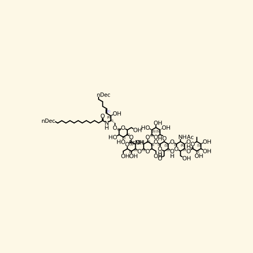 CCCCCCCCCCCCC/C=C/[C@@H](O)[C@H](CO[C@@H]1OC(CO)[C@@H](O[C@@H]2OC(CO)[C@H](O)[C@H](O[C@@H]3OC(CO)[C@@H](O[C@@H]4OC(CO)[C@H](O)[C@H](O[C@@H]5OC(CO)[C@@H](O[C@H]6OC(C)[C@@H](O)C(O)[C@@H]6O)[C@H](O)C5NC(C)=O)C4O)[C@H](O[C@H]4OC(C)[C@@H](O)C(O)[C@@H]4O)C3NC(C)=O)C2O)[C@H](O)C1O)NC(=O)CCCCCCCCCCCCCCCCCCCCC